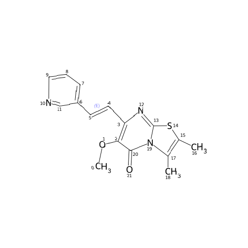 COc1c(/C=C/c2cccnc2)nc2sc(C)c(C)n2c1=O